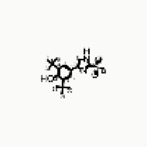 CC(C)(C)c1cc(-c2c[nH]c(S(C)(=O)=O)n2)cc(C(C)(C)C)c1O